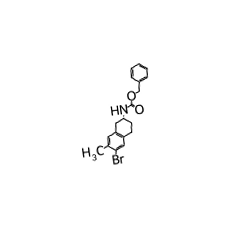 Cc1cc2c(cc1Br)CC[C@@H](NC(=O)OCc1ccccc1)C2